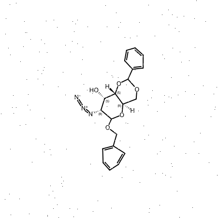 [N-]=[N+]=N[C@H]1C(OCc2ccccc2)O[C@@H]2COC(c3ccccc3)O[C@H]2[C@H]1O